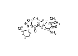 Cc1onc(-c2ccccc2Cl)c1C(=O)N1CC[C@]2(C=C(N)C(=O)C(C)(C)C2)C1